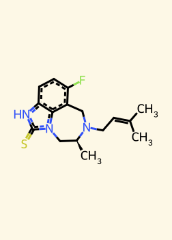 CC(C)=CCN1Cc2c(F)ccc3[nH]c(=S)n(c23)C[C@@H]1C